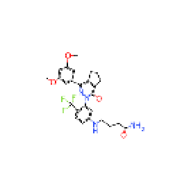 COc1cc(OC)cc(-c2nn(-c3cc(NCCCC(N)=O)ccc3C(F)(F)F)c(=O)c3c2CCC3)c1